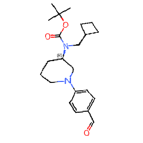 CC(C)(C)OC(=O)N(CC1CCC1)[C@@H]1CCCN(c2ccc(C=O)cc2)C1